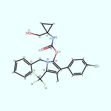 Cc1c(-c2ccc(Cl)cc2)c(OC(=O)NC2(CO)CC2)n(Cc2ccccc2)c1C(F)(F)F